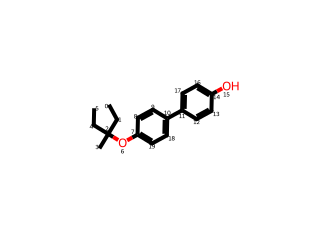 CCC(C)(CC)Oc1ccc(-c2ccc(O)cc2)cc1